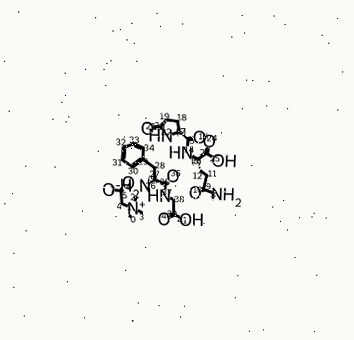 C[N+](C)(C)CC(=O)[O-].NC(=O)CC[C@H](NC(=O)[C@@H]1CCC(=O)N1)C(=O)O.N[C@@H](Cc1ccccc1)C(=O)NCC(=O)O